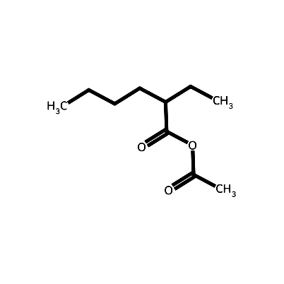 CCCCC(CC)C(=O)OC(C)=O